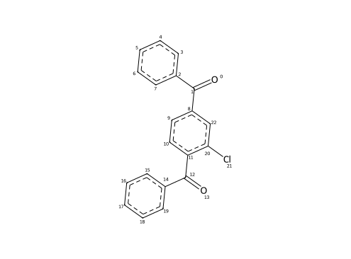 O=C(c1ccccc1)c1ccc(C(=O)c2ccccc2)c(Cl)c1